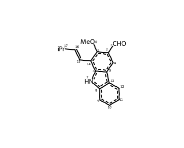 COc1c(C=O)cc2c([nH]c3ccccc32)c1C=CC(C)C